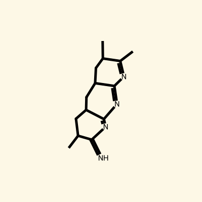 CC1=NC2=NC3=NC(=N)C(C)CC3CC2CC1C